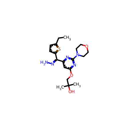 CCc1ccc(C(=NN)c2cc(OCC(C)(C)O)nc(N3CCOCC3)n2)s1